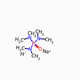 CN(C)P(=O)(N(C)C)N(C)C.[H-].[Na+]